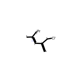 C=C(/C=C(/C)C(C)C)CCl